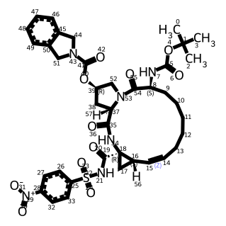 CC(C)(C)OC(=O)N[C@H]1CCCCC/C=C\[C@@H]2C[C@@]2(C(=O)NS(=O)(=O)c2ccc([N+](=O)[O-])cc2)NC(=O)[C@@H]2C[C@@H](OC(=O)N3Cc4ccccc4C3)CN2C1=O